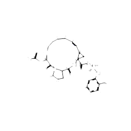 NC(=O)OC1CCCCC/C=C\C2CC2(C(=O)NS(=O)(=O)Nc2ccccc2Cl)NC(=O)C2CCCN2C1=O